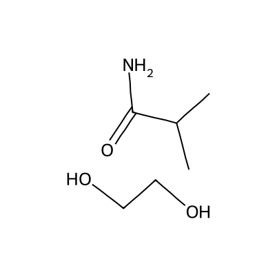 CC(C)C(N)=O.OCCO